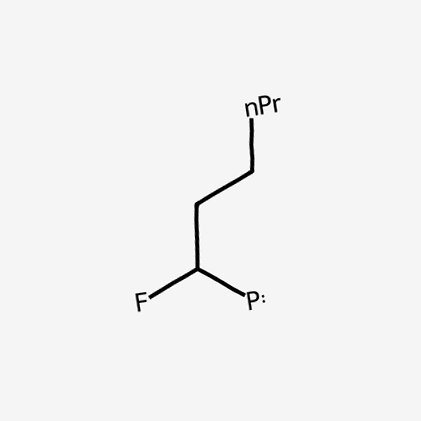 CCCCCC(F)[P]